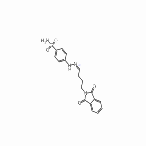 NS(=O)(=O)c1ccc(N/N=C\CCCN2C(=O)c3ccccc3C2=O)cc1